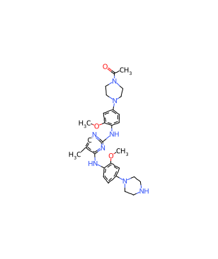 COc1cc(N2CCN(C(C)=O)CC2)ccc1Nc1ncc(C)c(Nc2ccc(N3CCNCC3)cc2OC)n1